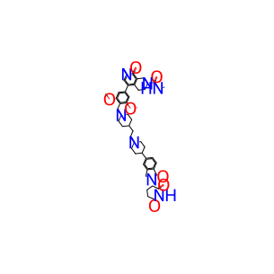 CNC(=O)N1CCc2c(-c3cc(OC)c(CN4CCC(CCN5CCC(c6ccc7c(c6)CN(C6CCC(=O)NC6=O)C7=O)CC5)CC4)c(OC)c3)cn(C)c(=O)c2C1